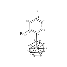 Cc1ccc([C]23[CH]4[CH]5[CH]6[CH]2[Fe]56432789[CH]3[CH]2[CH]7[CH]8[CH]39)c(Br)c1